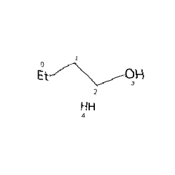 CCCCO.[HH]